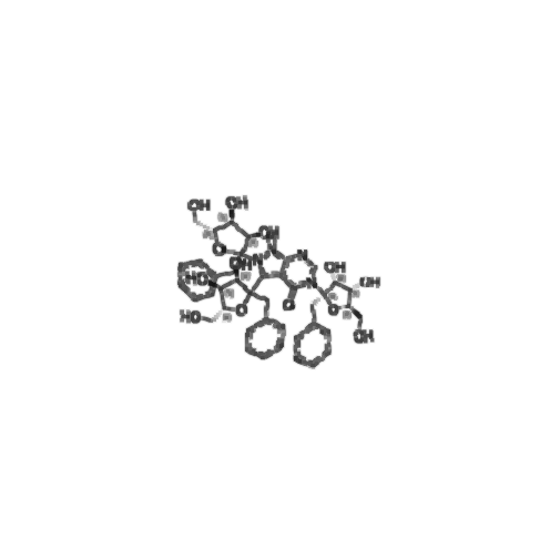 O=c1c2c(C3(Cc4ccccc4)O[C@H](CO)[C@@H](O)[C@H]3O)[n+](C3(Cc4ccccc4)O[C@H](CO)[C@@H](O)[C@H]3O)[nH]c2ncn1[C@]1(Cc2ccccc2)O[C@H](CO)[C@@H](O)[C@H]1O